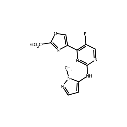 CCOC(=O)c1nc(-c2nc(Nc3ccnn3C)ncc2F)co1